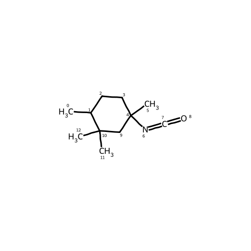 CC1CCC(C)(N=C=O)CC1(C)C